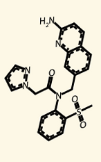 CS(=O)(=O)c1ccccc1N(Cc1ccc2ccc(N)nc2c1)C(=O)Cn1cccn1